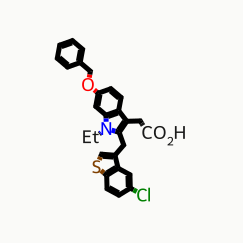 CCn1c(Cc2csc3ccc(Cl)cc23)c(CC(=O)O)c2ccc(OCc3ccccc3)cc21